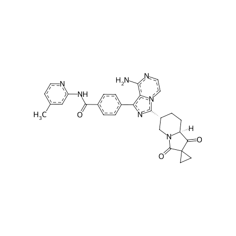 Cc1ccnc(NC(=O)c2ccc(-c3nc([C@@H]4CC[C@H]5C(=O)C6(CC6)C(=O)N5C4)n4ccnc(N)c34)cc2)c1